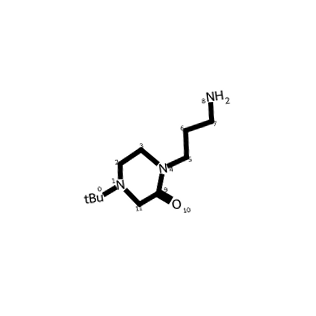 CC(C)(C)N1CCN(CCCN)C(=O)C1